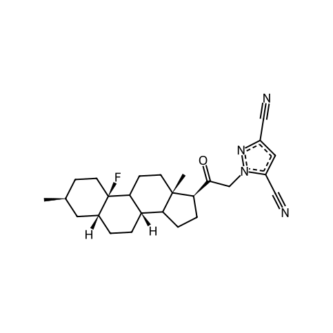 C[C@H]1CC[C@]2(F)C3CC[C@@]4(C)C(CC[C@@H]4C(=O)Cn4nc(C#N)cc4C#N)[C@@H]3CC[C@@H]2C1